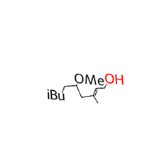 CCC(C)CC(CC(C)=CCO)OC